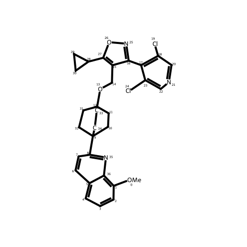 COc1cccc2ccc(C34CCC(OCc5c(-c6c(Cl)cncc6Cl)noc5C5CC5)(CC3)CC4)nc12